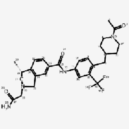 CC(=O)N1CCC(Cc2ccc(NC(=O)c3ccc4c(c3)CN(CC(N)=O)C[C@@H]4C)cc2C(F)(F)F)CC1